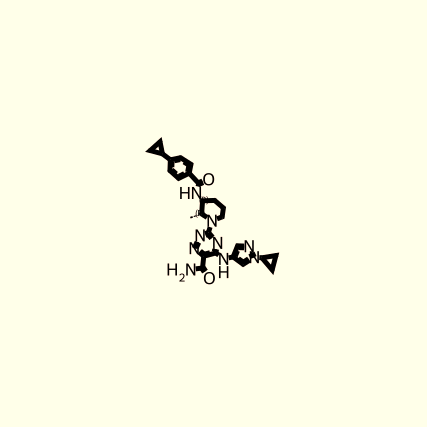 C[C@@H]1[C@H](NC(=O)c2ccc(C3CC3)cc2)CCCN1c1nnc(C(N)=O)c(Nc2cnn(C3CC3)c2)n1